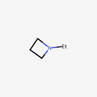 [CH2]CN1CCC1